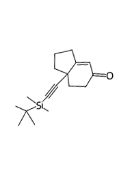 CC(C)(C)[Si](C)(C)C#CC12CCCC1=CC(=O)CC2